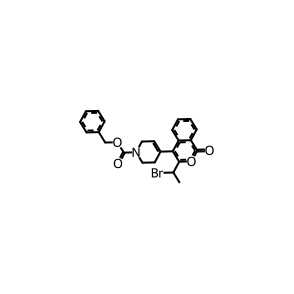 CC(Br)c1oc(=O)c2ccccc2c1C1=CCN(C(=O)OCc2ccccc2)CC1